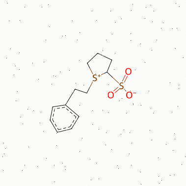 O=S(=O)([O-])C1CCC[S+]1CCc1ccccc1